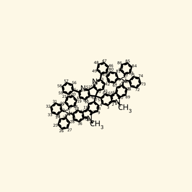 Cn1c2ccc(C3(c4ccc5c(c4)c4cc([Si](c6ccccc6)(c6ccccc6)c6ccccc6)ccc4n5C)c4ccc(-c5ccccc5)nc4-c4nc(-c5ccccc5)ccc43)cc2c2cc([Si](c3ccccc3)(c3ccccc3)c3ccccc3)ccc21